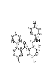 Cc1ccc(-c2ncccn2)c(C(=O)N2C[C@@H](C)O[C@@H](C)[C@H]2CNc2ccc(Cl)cn2)n1